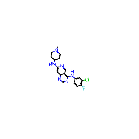 CN1CCC(Nc2cc3ncnc(Nc4ccc(F)c(Cl)c4)c3cn2)CC1